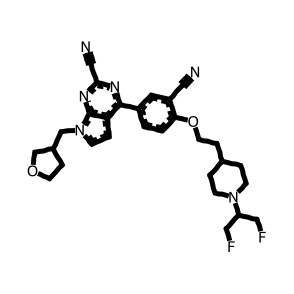 N#Cc1nc(-c2ccc(OCCC3CCN(C(CF)CF)CC3)c(C#N)c2)c2ccn(CC3CCOC3)c2n1